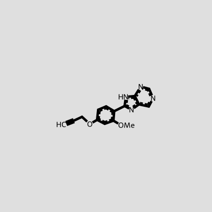 C#CCOc1ccc(-c2nc3cncnc3[nH]2)c(OC)c1